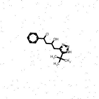 CC(C)(C)c1[nH]nnc1CC(O)CC(Cl)c1ccccc1